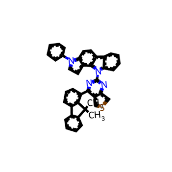 CC1(C)c2ccccc2-c2cccc(-c3nc(-n4c5ccccc5c5ccc6c(ccn6-c6ccccc6)c54)nc4cscc34)c21